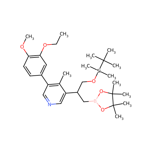 CCOc1cc(-c2cncc(C(CO[Si](C)(C)C(C)(C)C)CB3OC(C)(C)C(C)(C)O3)c2C)ccc1OC